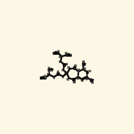 CCCCC(CCC)COCC1(COCC(CCCC)CCCC)COC2C=C(Br)SC(Br)C2OC1